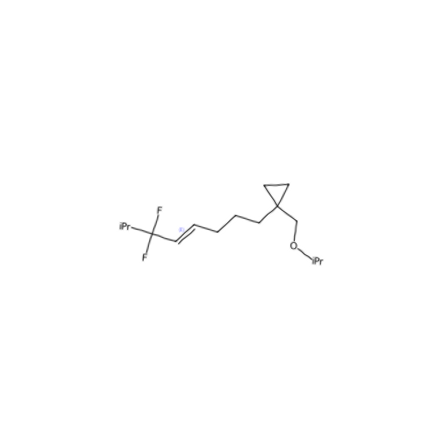 CC(C)OCC1(CCC/C=C/C(F)(F)C(C)C)CC1